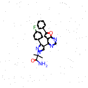 CC(C)(C(N)=O)n1cc(-c2ncnc3oc(-c4ccccc4)cc23)c(-c2ccc(F)cc2)n1